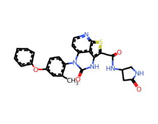 Cc1cc(Oc2ccccc2)ccc1N1C(=O)Nc2c(C(=O)NC3CNC(=O)C3)sc3nccc1c23